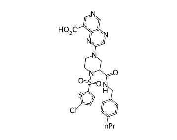 CCCc1ccc(CNC(=O)C2CN(c3cnc4cncc(C(=O)O)c4n3)CCN2S(=O)(=O)c2ccc(Cl)s2)cc1